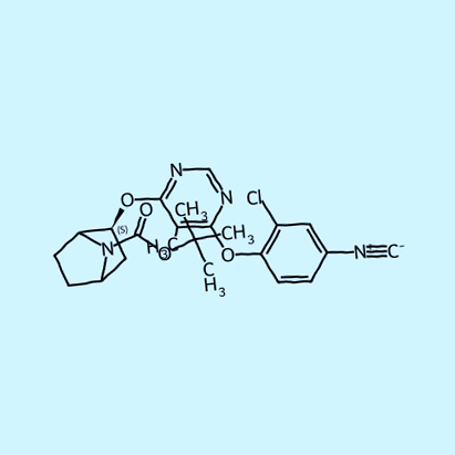 [C-]#[N+]c1ccc(Oc2ncnc(O[C@H]3CC4CCC3N4C(=O)OC(C)(C)C)c2C)c(Cl)c1